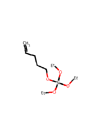 C=CCCCO[Si](OCC)(OCC)OCC